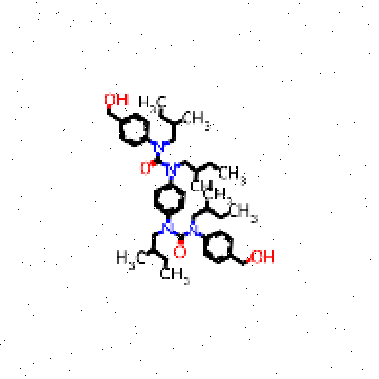 CCC(C)CN(C(=O)N(CC(C)CC)c1ccc(N(CC(C)CC)C(=O)N(CC(C)CC)c2ccc(CO)cc2)cc1)c1ccc(CO)cc1